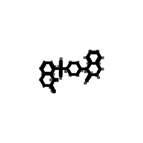 O=C1CCc2cccc(S(=O)(=O)N3CCC(N4C(=O)OCc5ccccc54)CC3)c2N1